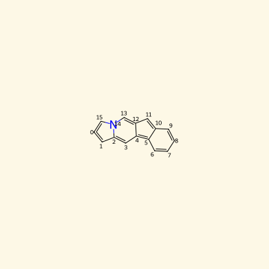 C1=Cc2cc3c4ccccc4cc-3cn2C=1